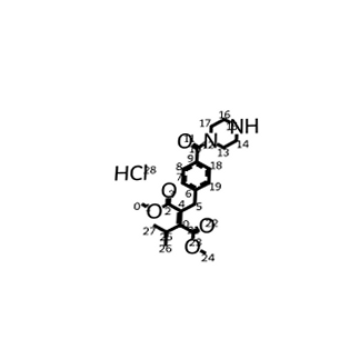 COC(=O)C(Cc1ccc(C(=O)N2CCNCC2)cc1)=C(C(=O)OC)C(C)C.Cl